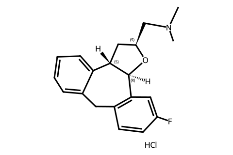 CN(C)C[C@@H]1C[C@H]2c3ccccc3Cc3ccc(F)cc3[C@@H]2O1.Cl